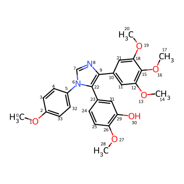 COc1ccc(-n2cnc(-c3cc(OC)c(OC)c(OC)c3)c2-c2ccc(OC)c(O)c2)cc1